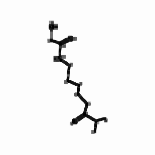 CC(C)C(=O)CCCCCNC(=O)CO